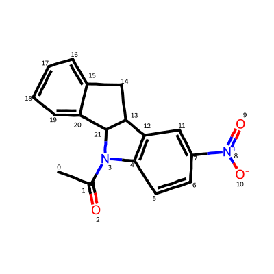 CC(=O)N1c2ccc([N+](=O)[O-])cc2C2Cc3ccccc3C21